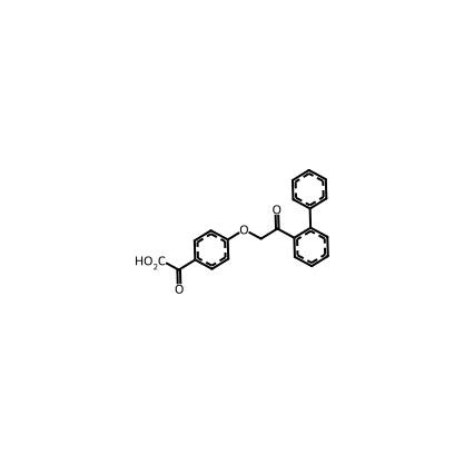 O=C(O)C(=O)c1ccc(OCC(=O)c2ccccc2-c2ccccc2)cc1